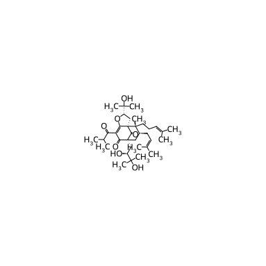 CC(C)=CCC[C@]1(C)[C@@H](CC=C(C)C)C[C@@]2(C[C@H](O)C(C)(C)O)C(=O)C(C(=O)C(C)C)=C3O[C@H](C(C)(C)O)C[C@]31C2=O